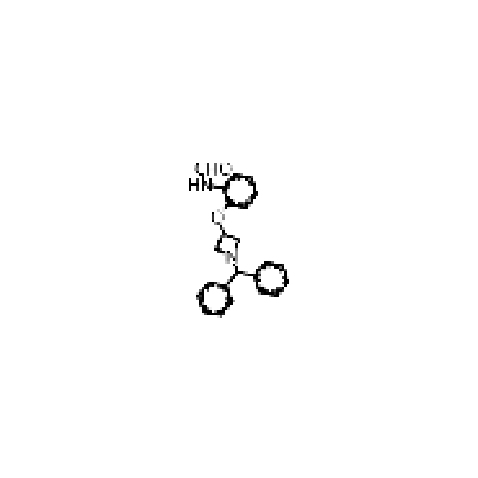 O=CNc1ccccc1OC1CN(C(c2ccccc2)c2ccccc2)C1